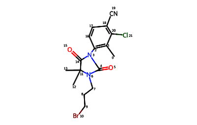 Cc1c(N2C(=O)N(CCCBr)C(C)(C)C2=O)ccc(C#N)c1Cl